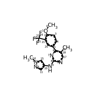 COc1ccc(-c2nc(Nc3cnn(C)c3)ncc2C)cc1C(F)(F)F